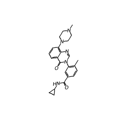 Cc1ccc(C(=O)NC2CC2)cc1-n1cnc2c(N3CCN(C)CC3)cccc2c1=O